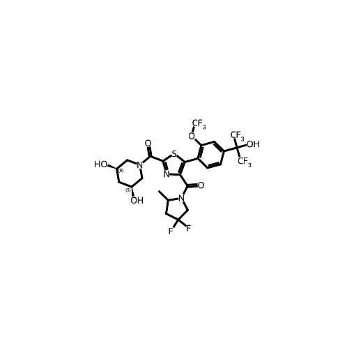 CC1CC(F)(F)CN1C(=O)c1nc(C(=O)N2C[C@H](O)C[C@H](O)C2)sc1-c1ccc(C(O)(C(F)(F)F)C(F)(F)F)cc1OC(F)(F)F